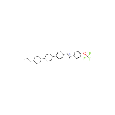 CCCC1CCC(C2CCC(c3ccc(/C=C(\C)c4ccc(OC(F)(F)F)cc4)cc3)CC2)CC1